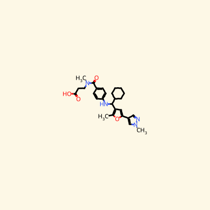 Cc1oc(-c2cnn(C)c2)cc1C(Nc1ccc(C(=O)N(C)CCC(=O)O)cc1)C1CCCCC1